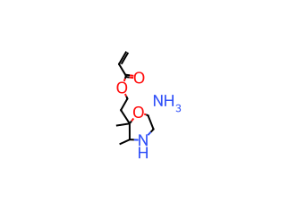 C=CC(=O)OCCC1(C)OCCNC1C.N